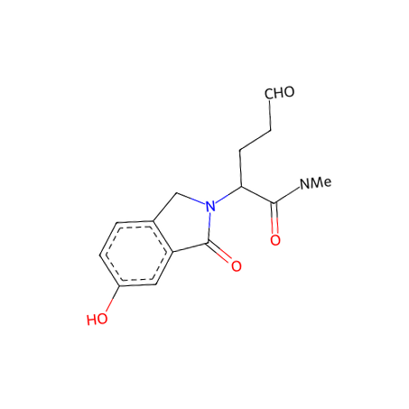 CNC(=O)C(CCC=O)N1Cc2ccc(O)cc2C1=O